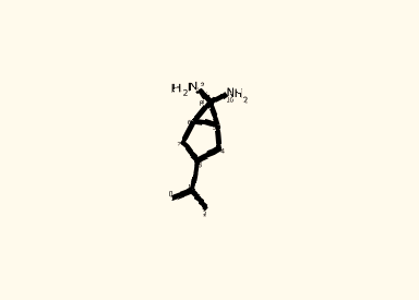 CC(C)C1CC2C(C1)C2(N)N